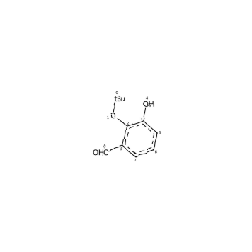 CC(C)(C)Oc1c(O)cccc1C=O